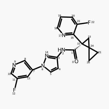 O=C(Nc1ccn(-c2cncc(F)c2)n1)[C@]1(c2ncccc2F)CC12CC2